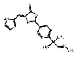 C/N=C/C(C)(C)c1ccc(C2=N/C(=C\c3ccc[nH]3)C(=O)O2)cc1